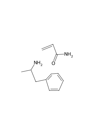 C=CC(N)=O.CC(N)Cc1ccccc1